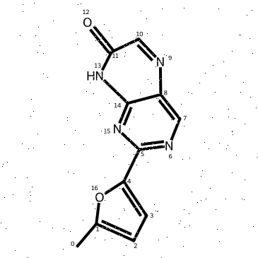 Cc1ccc(-c2ncc3ncc(=O)[nH]c3n2)o1